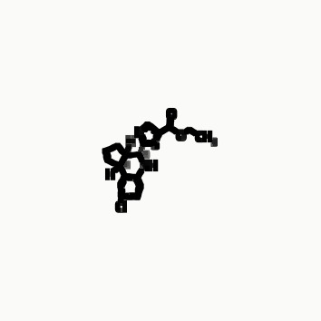 CCOC(=O)c1cnc([C@@H]2Nc3ccc(Cl)cc3[C@@H]3C=CC[C@@H]32)s1